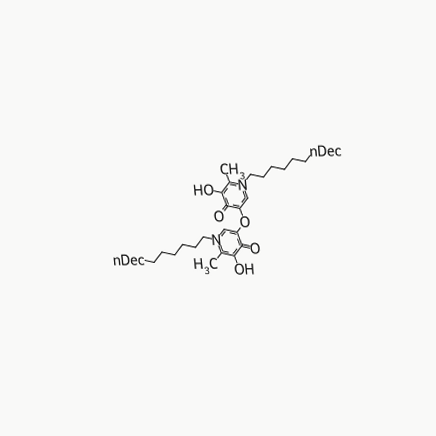 CCCCCCCCCCCCCCCCn1cc(Oc2cn(CCCCCCCCCCCCCCCC)c(C)c(O)c2=O)c(=O)c(O)c1C